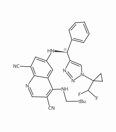 CC(C)(C)CNc1c(C#N)cnc2c(C#N)cc(N[C@@H](c3ccccc3)c3cn(C4(C(F)F)CC4)nn3)cc12